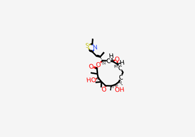 CC(=Cc1csc(C)n1)[C@@H]1C[C@@H]2O[C@@H]2CCC[C@H](C)[C@H](O)[C@@H](C)C(=O)C(C)(C)[C@@H](O)C(C)C(=O)O1